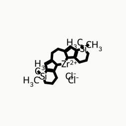 C[Si]1(C)CCCC2=C1C=C1CCC3=CC4=C(CCC[Si]4(C)C)[CH]3[Zr+2][CH]12.[Cl-].[Cl-]